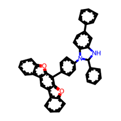 c1ccc(-c2ccc3c(c2)NC(c2ccccc2)N3c2ccc(-c3c4oc5ccccc5c4cc4c3oc3ccccc34)cc2)cc1